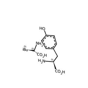 CC[C@H](C)[C@H](N)C(=O)O.N[C@@H](Cc1ccc(O)cc1)C(=O)O